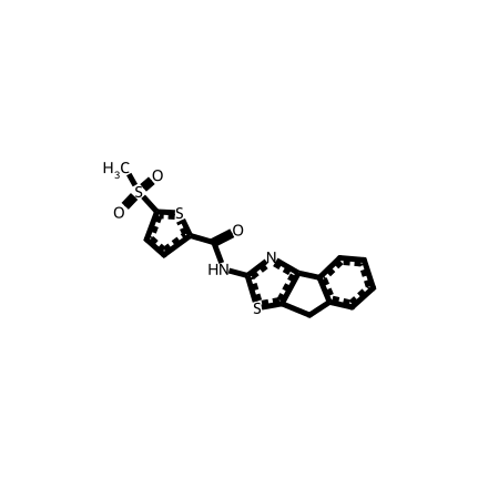 CS(=O)(=O)c1ccc(C(=O)Nc2nc3c(s2)Cc2ccccc2-3)s1